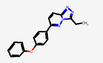 CCc1nnc2ccc(-c3ccc(Oc4ccccc4)cc3)nn12